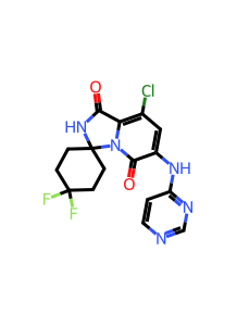 O=C1NC2(CCC(F)(F)CC2)n2c1c(Cl)cc(Nc1ccncn1)c2=O